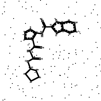 O=C(NC(=O)c1ccsc1NC(=O)c1nc2cnccc2s1)OC1CCCC1